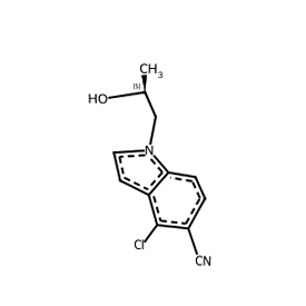 C[C@H](O)Cn1ccc2c(Cl)c(C#N)ccc21